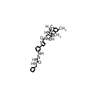 Cc1cc(C)c(S(=O)(=O)NC(CNC(=O)c2ccc(-c3cccc(NC=NNC(=O)NCc4ccccc4)c3)s2)C(=O)O)c(C)c1